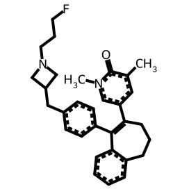 Cc1cc(C2=C(c3ccc(CC4CN(CCCF)C4)cc3)c3ccccc3CCC2)cn(C)c1=O